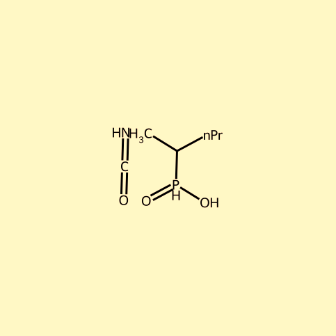 CCCC(C)[PH](=O)O.N=C=O